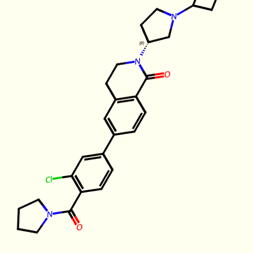 O=C(c1ccc(-c2ccc3c(c2)CCN([C@@H]2CCN(C4CCC4)C2)C3=O)cc1Cl)N1CCCC1